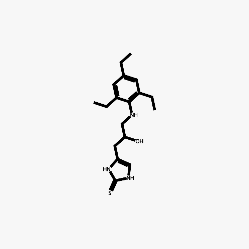 CCc1cc(CC)c(NCC(O)Cc2c[nH]c(=S)[nH]2)c(CC)c1